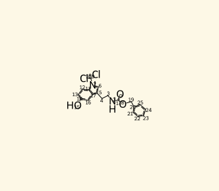 O=C(NCCc1cn(C(Cl)Cl)c2ccc(O)cc12)OCc1ccccc1